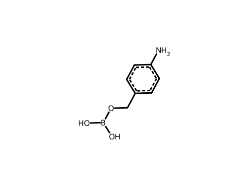 Nc1ccc(COB(O)O)cc1